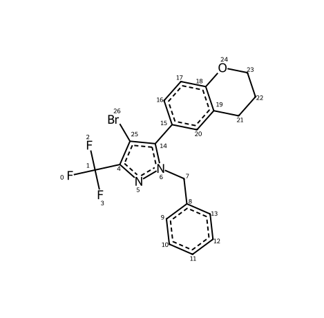 FC(F)(F)c1nn(Cc2ccccc2)c(-c2ccc3c(c2)CCCO3)c1Br